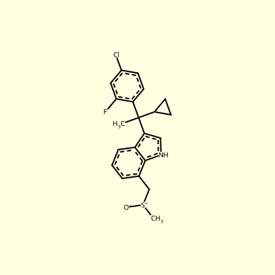 C[S+]([O-])Cc1cccc2c(C(C)(c3ccc(Cl)cc3F)C3CC3)c[nH]c12